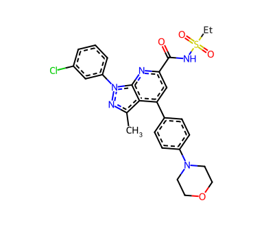 CCS(=O)(=O)NC(=O)c1cc(-c2ccc(N3CCOCC3)cc2)c2c(C)nn(-c3cccc(Cl)c3)c2n1